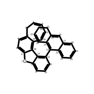 C1=CCc2ccc3oc4cccc(-c5c6c(cc7ccccc57)CCC=C6)c4c3c2C=C1